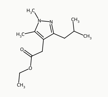 CCOC(=O)Cc1c(CC(C)C)nn(C)c1C